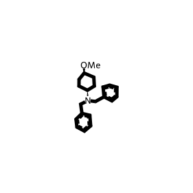 CO[C@H]1CC[C@H](N(Cc2ccccc2)Cc2ccccc2)CC1